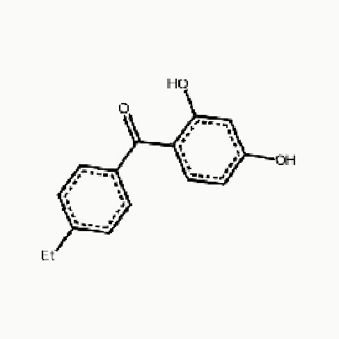 CCc1ccc(C(=O)c2ccc(O)cc2O)cc1